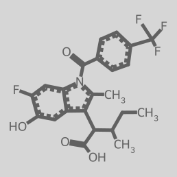 CCC(C)C(C(=O)O)c1c(C)n(C(=O)c2ccc(C(F)(F)F)cc2)c2cc(F)c(O)cc12